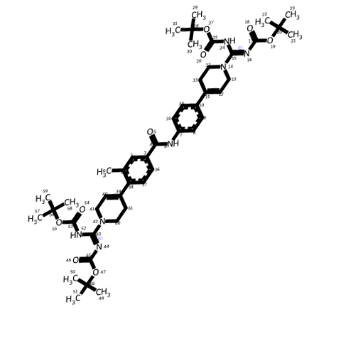 Cc1cc(C(=O)Nc2ccc(C3=CCN(/C(=N/C(=O)OC(C)(C)C)NC(=O)OC(C)(C)C)CC3)cc2)ccc1C1=CCN(/C(=N/C(=O)OC(C)(C)C)NC(=O)OC(C)(C)C)CC1